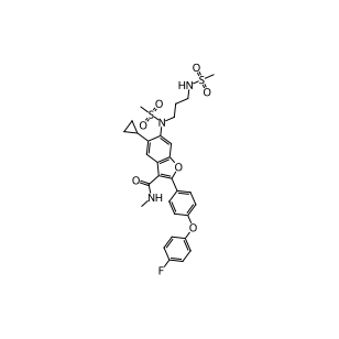 CNC(=O)c1c(-c2ccc(Oc3ccc(F)cc3)cc2)oc2cc(N(CCCNS(C)(=O)=O)S(C)(=O)=O)c(C3CC3)cc12